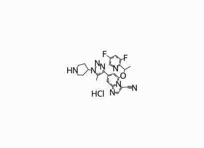 Cc1c(-c2cc(OC(C)c3ncc(F)cc3F)n3c(C#N)cnc3c2)nnn1C1CCNCC1.Cl